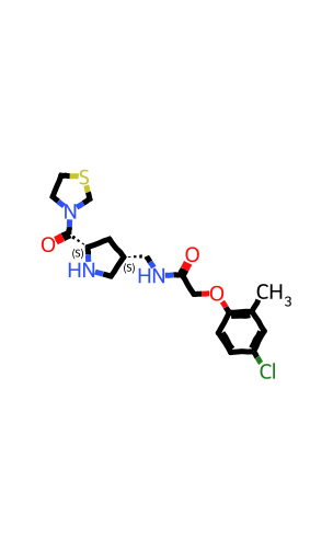 Cc1cc(Cl)ccc1OCC(=O)NC[C@@H]1CN[C@H](C(=O)N2CCSC2)C1